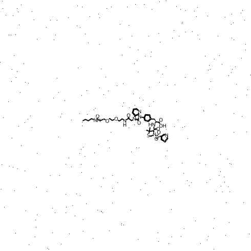 CCCCNC(=O)CCOCCOCCNC(=O)Cn1c(=O)n(-c2ccc(C[C@H](NC(=O)[C@H]3N(S(=O)(=O)c4cccnc4)CSC3(C)C)C(=O)O)cc2)c2ncccc21